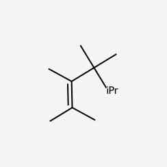 CC(C)=C(C)C(C)(C)C(C)C